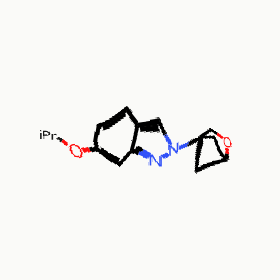 CC(C)Oc1ccc2cn(C34COC(C3)C4)nc2c1